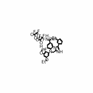 CCOc1cc(OC(C)C)c(F)c(N(Cc2nc(-c3cccc(CC)c3)c[nH]2)c2ccc(C(=N)N)cc2)c1.O=C(O)C(F)(F)F.O=C(O)C(F)(F)F